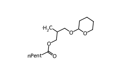 [CH2]C(COC(=O)CCCCC)COC1CCCCO1